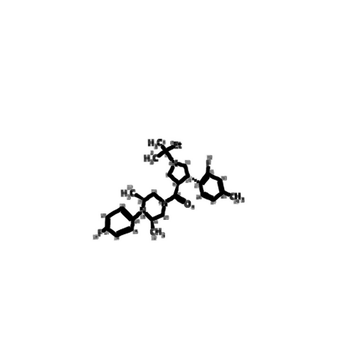 CCC(C)(C)N1C[C@H](C(=O)N2C[C@@H](C)N(c3ccc(F)cc3)[C@@H](C)C2)[C@@H](c2ccc(C)cc2F)C1